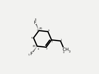 CCC1=C[C@H](F)C[C@H](F)C1